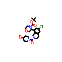 COC1CCN(C(=O)N2CCc3cc(Cl)cc(C4COCCN4C(=O)OC(C)(C)C)c3C2)CC1